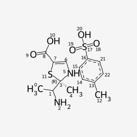 CC(N)[C@]1(C)NC=C(C(=O)O)S1.Cc1ccc(S(=O)(=O)O)cc1